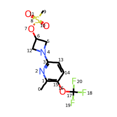 Cc1nc(N2CC(OS(C)(=O)=O)C2)ccc1OC(F)(F)F